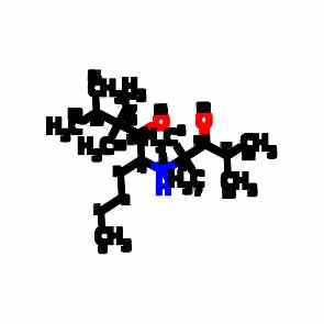 CCCCC(NC(C)(C)C(=O)C(C)C)C(=O)C(C)(C)C(C)C